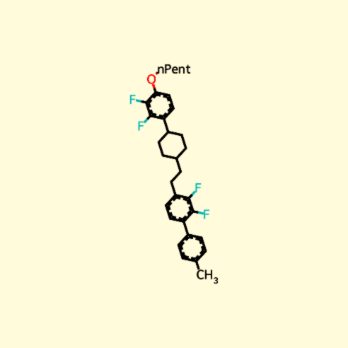 CCCCCOc1ccc(C2CCC(CCc3ccc(-c4ccc(C)cc4)c(F)c3F)CC2)c(F)c1F